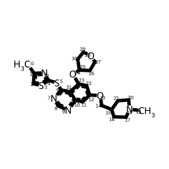 Cc1csc(Sc2ncnc3cc(OCC4CCN(C)CC4)cc(OC4CCOCC4)c23)n1